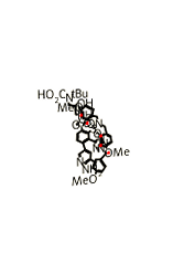 COc1ccc(CN(Cc2ccc(OC)cc2)S(=O)(=O)c2c(S(=O)(=O)NC[C@H](O)CN(C(=O)O)C(C)(C)C)ccc(-c3cnc(N)c(C)c3)c2-c2nnn(Cc3ccc(OC)cc3)n2)cc1